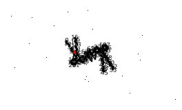 CCCCCCCCC1(CCCCCCCC)c2ccccc2-c2ccc(-c3nnc(-c4ccc5c(c4)C(CCCCCCCC)(CCCCCCCC)c4ccccc4-5)c(C)c3C)cc21